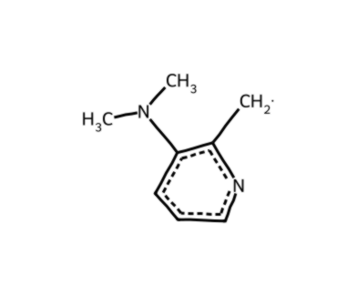 [CH2]c1ncccc1N(C)C